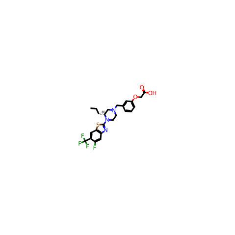 CCC[C@@H]1CN(Cc2cccc(OCC(=O)O)c2)CCN1c1nc2cc(F)c(C(F)(F)F)cc2s1